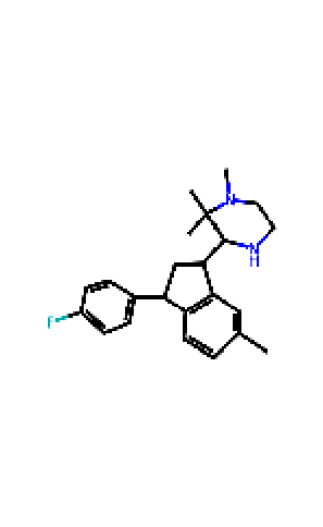 Cc1ccc2c(c1)C(C1NCCN(C)C1(C)C)CC2c1ccc(F)cc1